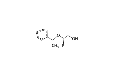 CC(OC(F)CO)c1ccccc1